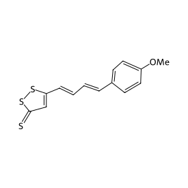 COc1ccc(/C=C/C=C/c2cc(=S)ss2)cc1